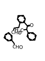 CC(C(=O)c1ccccc1CCC=O)c1ccccc1.O=CCc1ccccc1